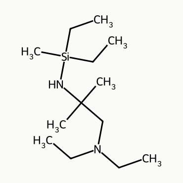 CCN(CC)CC(C)(C)N[Si](C)(CC)CC